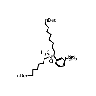 Br.CCCCCCCCCCCCCCCCCCC(c1ccccc1)[N+](C)(C)CCCCCCCCCCCCCCCC.N.[Br-]